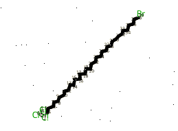 Cl[Si](Cl)(Cl)CCCCCCCCCCCCCCCCCCCCCCCCCCCCCCCCCCCBr